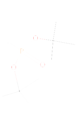 [CH2]P(=O)(OC(C)(C)C)OC(C)(C)C